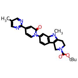 Cc1cnc(-c2ccn(-c3ccc4c5c(n(C)c4c3)CCN(C(=O)OC(C)(C)C)C5)c(=O)c2)nc1